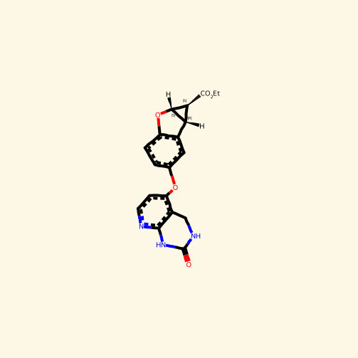 CCOC(=O)[C@@H]1[C@H]2Oc3ccc(Oc4ccnc5c4CNC(=O)N5)cc3[C@H]21